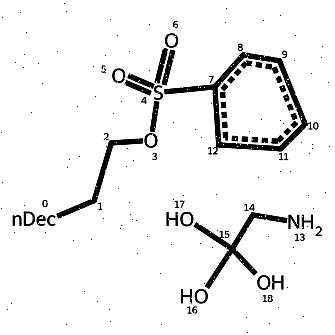 CCCCCCCCCCCCOS(=O)(=O)c1ccccc1.NCC(O)(O)O